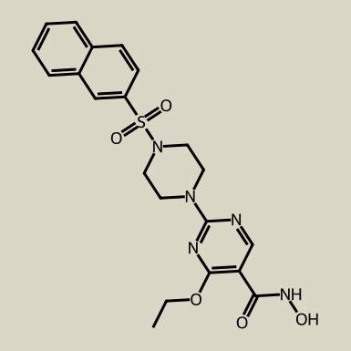 CCOc1nc(N2CCN(S(=O)(=O)c3ccc4ccccc4c3)CC2)ncc1C(=O)NO